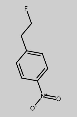 O=[N+]([O-])c1ccc(CCF)cc1